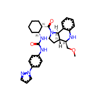 COC[C@@H]1Nc2ccccc2[C@H]2[C@H]1CCN2C(=O)[C@H]1CCCC[C@H]1NC(=O)Nc1ccc(-n2cccn2)cc1